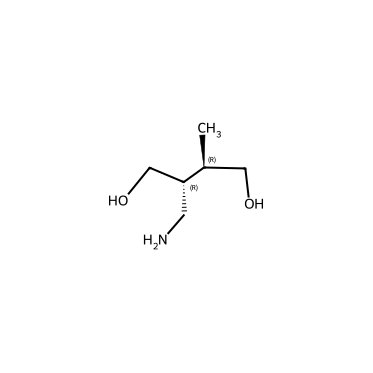 C[C@@H](CO)[C@H](CN)CO